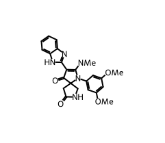 CNC1=C(c2nc3ccccc3[nH]2)C(=O)C2(CNC(=O)C2)N1c1cc(OC)cc(OC)c1